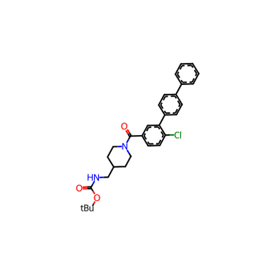 CC(C)(C)OC(=O)NCC1CCN(C(=O)c2ccc(Cl)c(-c3ccc(-c4ccccc4)cc3)c2)CC1